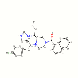 CCCC[C@H]1CN(C(=O)c2cccc3ccccc23)CCN1C(Cc1ccc(F)cc1)c1cnc[nH]1